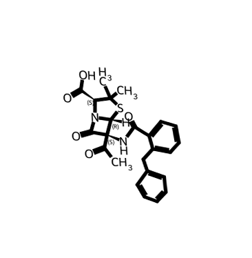 CC(=O)[C@]1(NC(=O)c2ccccc2Cc2ccccc2)C(=O)N2[C@@H](C(=O)O)C(C)(C)S[C@@H]21